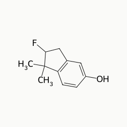 CC1(C)c2ccc(O)cc2CC1F